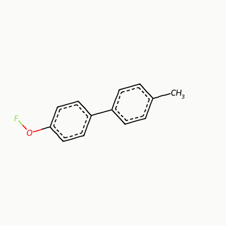 Cc1ccc(-c2ccc(OF)cc2)cc1